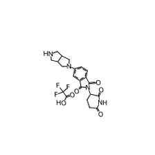 O=C(O)C(F)(F)F.O=C1CCC(N2C(=O)c3ccc(N4CC5CNCC5C4)cc3C2=O)C(=O)N1